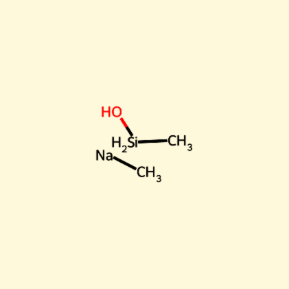 C[SiH2]O.[CH3][Na]